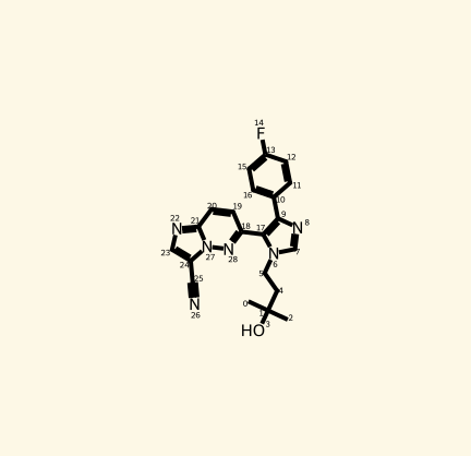 CC(C)(O)CCn1cnc(-c2ccc(F)cc2)c1-c1ccc2ncc(C#N)n2n1